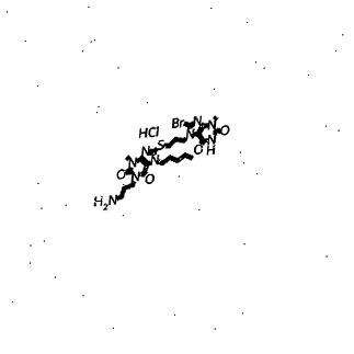 CCCCCn1c(SCCCn2c(Br)nc3c2c(=O)[nH]c(=O)n3C)nc2c1c(=O)n(CCCN)c(=O)n2C.Cl